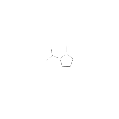 CC(Cl)C1CCCN1C.Cl